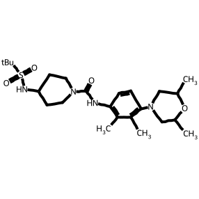 Cc1c(NC(=O)N2CCC(NS(=O)(=O)C(C)(C)C)CC2)ccc(N2CC(C)OC(C)C2)c1C